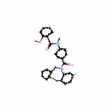 COc1ccccc1C(=O)N(C)c1ccc(C(=O)N2Cc3ccccc3Cc3ccccc32)cc1